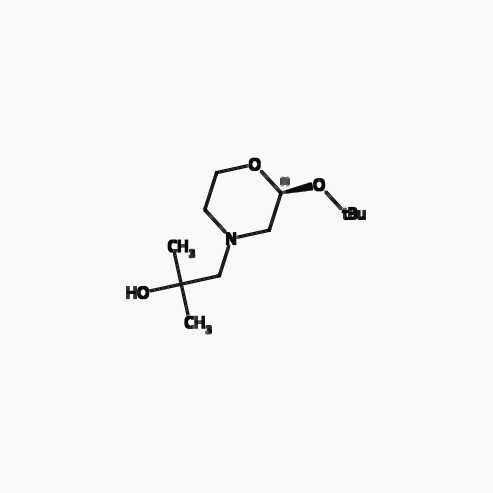 CC(C)(O)CN1CCO[C@@H](OC(C)(C)C)C1